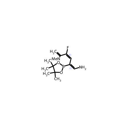 C=C(NC)/C(F)=C\C(=C/N)B1OC(C)(C)C(C)(C)O1